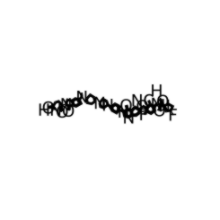 CN(c1ccc2c(c1)CN([C@@H]1CCC(=O)NC1=O)C2=O)C1CCC(N2CCN(c3ccc(-n4cnc5ccc(Oc6c(F)ccc(NS(=O)(=O)N7CC[C@@H](F)C7)c6C#N)cc5c4=O)cc3)CC2)CC1